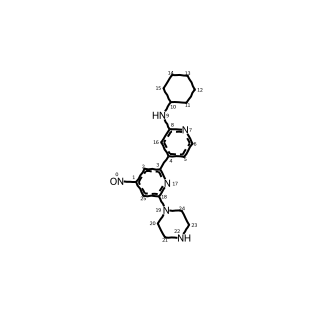 O=Nc1cc(-c2ccnc(NC3CCCCC3)c2)nc(N2CCNCC2)c1